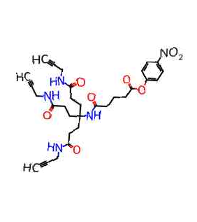 C#CCNC(=O)CCC(CCC(=O)NCC#C)(CCC(=O)NCC#C)NC(=O)CCCC(=O)Oc1ccc([N+](=O)[O-])cc1